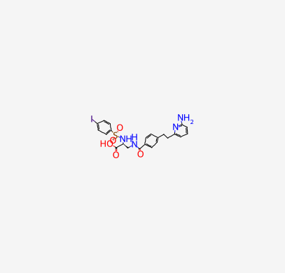 Nc1cccc(CCc2ccc(C(=O)NC[C@H](NS(=O)(=O)c3ccc(I)cc3)C(=O)O)cc2)n1